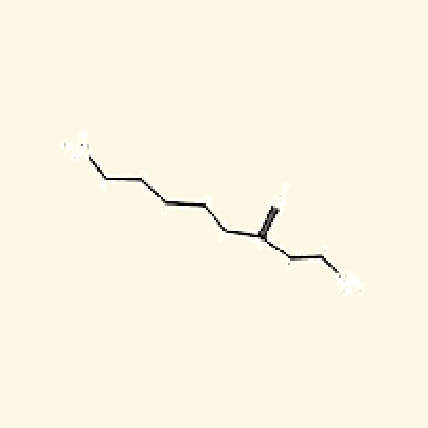 NCCCCCC(=S)CCN